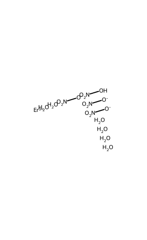 O.O.O.O.O.O.O=[N+]([O-])O.O=[N+]([O-])[O-].O=[N+]([O-])[O-].O=[N+]([O-])[O-].[Er+3]